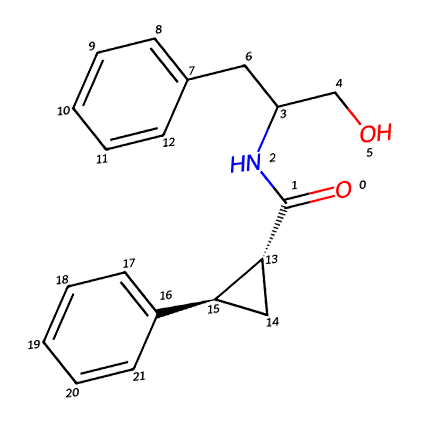 O=C(NC(CO)Cc1ccccc1)[C@@H]1C[C@H]1c1ccccc1